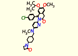 COc1cc2c(cc1OC(C)C)[C@H](c1ccc(Cl)cc1)N(c1ccc(N(C)CC3CCC(N4CCC4=O)CC3)cn1)C(=O)C2